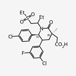 CCC(CS(=O)(=O)CC)N1C(=O)[C@@](C)(CC(=O)O)CC(c2cc(F)cc(Cl)c2)[C@H]1c1ccc(Cl)cc1